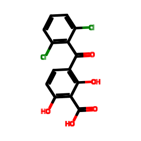 O=C(c1ccc(O)c(C(=O)O)c1O)c1c(Cl)cccc1Cl